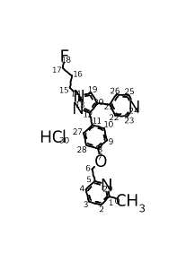 Cc1cccc(COc2ccc(-c3nn(CCCF)cc3-c3ccncc3)cc2)n1.Cl